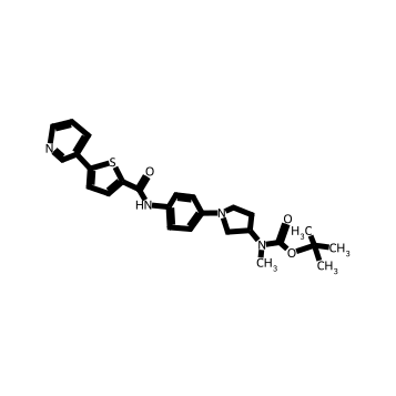 CN(C(=O)OC(C)(C)C)C1CCN(c2ccc(NC(=O)c3ccc(-c4cccnc4)s3)cc2)C1